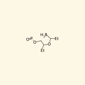 BC(CC)OC(CC)COP=O